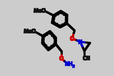 COc1ccc(CON)cc1.COc1ccc(CON2CC2C#N)cc1